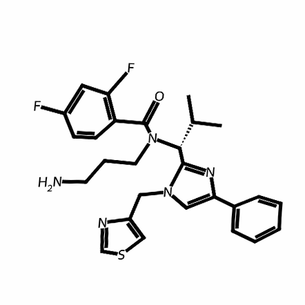 CC(C)[C@H](c1nc(-c2ccccc2)cn1Cc1cscn1)N(CCCN)C(=O)c1ccc(F)cc1F